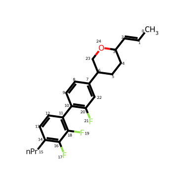 C/C=C/C1CCC(c2ccc(-c3ccc(CCC)c(F)c3F)c(F)c2)CO1